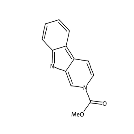 COC(=O)n1ccc2c3ccccc3nc-2c1